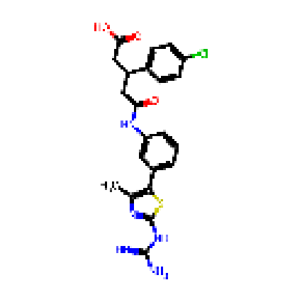 Cc1nc(NC(=N)N)sc1-c1cccc(NC(=O)CC(CC(=O)O)c2ccc(Cl)cc2)c1